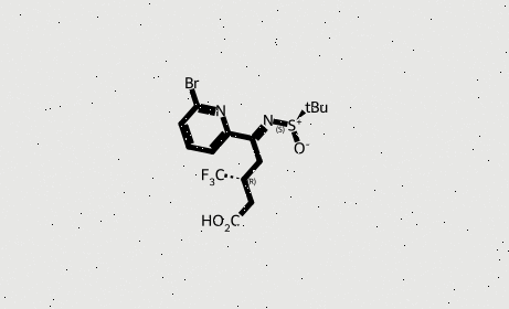 CC(C)(C)[S@@+]([O-])N=C(C[C@H](CC(=O)O)C(F)(F)F)c1cccc(Br)n1